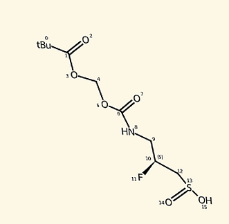 CC(C)(C)C(=O)OCOC(=O)NC[C@H](F)CS(=O)O